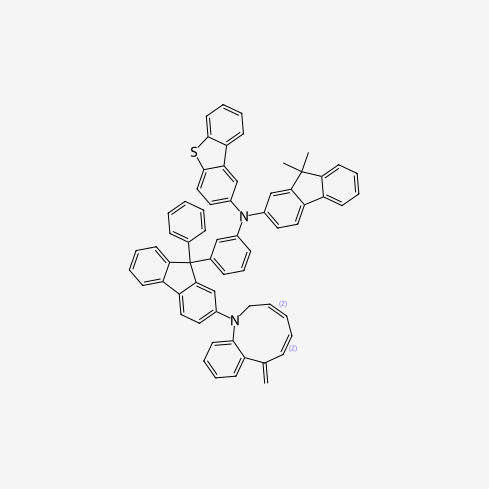 C=C1/C=C\C=C/CN(c2ccc3c(c2)C(c2ccccc2)(c2cccc(N(c4ccc5c(c4)C(C)(C)c4ccccc4-5)c4ccc5sc6ccccc6c5c4)c2)c2ccccc2-3)c2ccccc21